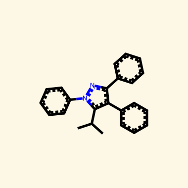 CC(C)c1c(-c2ccccc2)c(-c2ccccc2)nn1-c1ccccc1